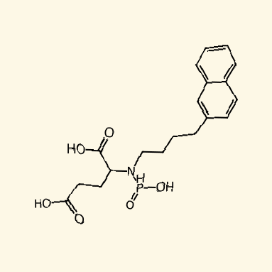 O=C(O)CCC(C(=O)O)N(CCCCc1ccc2ccccc2c1)[PH](=O)O